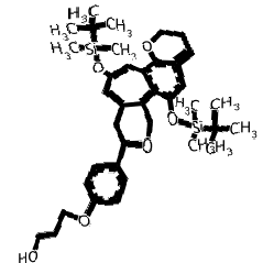 CC(C)(C)[Si](C)(C)OC1=Cc2c3c(cc(O[Si](C)(C)C(C)(C)C)c2=C2COC(c4ccc(OCCCO)cc4)CC2=C1)=CCCO3